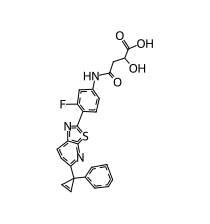 O=C(CC(O)C(=O)O)Nc1ccc(-c2nc3ccc(C4(c5ccccc5)C=C4)nc3s2)c(F)c1